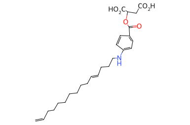 C=CCCCCCCCCC=CCCCNc1ccc(C(=O)OC(CC(=O)O)C(=O)O)cc1